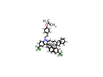 C=C(/C=C/C=C1/N(CCc2ccc(OC(C)C)cc2)c2ccc(C(F)(F)F)cc2C1(C)Cc1ccccc1)C(C)(Cc1ccccc1)c1cc(C(F)(F)F)ccc1C